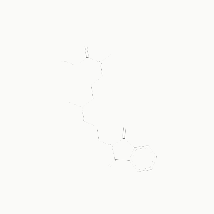 CN(CCCN(C)C(=O)OC(C)(C)C)CCCN1C(=O)c2ccccc2C1=O